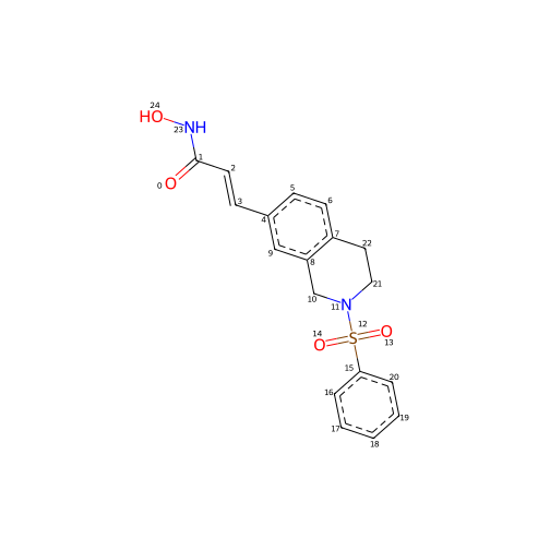 O=C(C=Cc1ccc2c(c1)CN(S(=O)(=O)c1ccccc1)CC2)NO